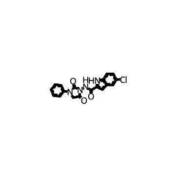 O=C(NN1C(=O)CN(c2ccccc2)C1=O)c1cc2cc(Cl)ccc2[nH]1